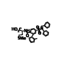 CSCCC(NC(=O)c1ccc(S(=O)(=O)N(Cc2ccccc2)c2ccccc2)cc1-c1ccccc1C)C(=O)O